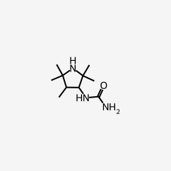 CC1C(NC(N)=O)C(C)(C)NC1(C)C